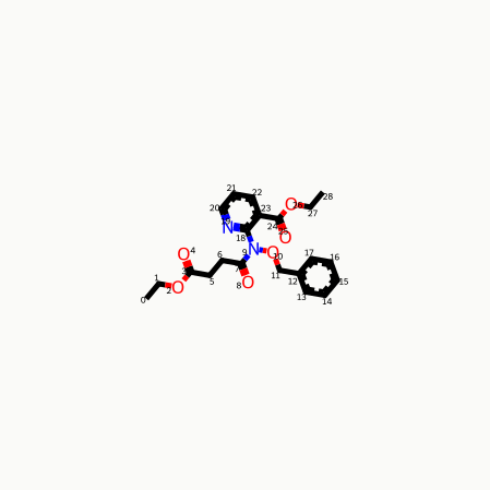 CCOC(=O)CCC(=O)N(OCc1ccccc1)c1ncccc1C(=O)OCC